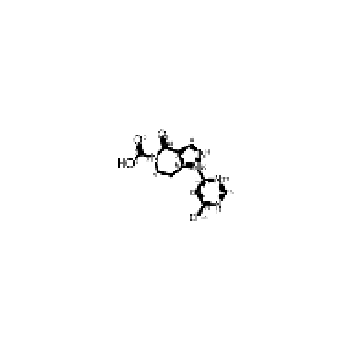 O=C(O)N1CCc2c(cnn2-c2cc(Cl)ncn2)C1=O